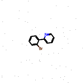 Brc1ccccc1-c1ccccn1